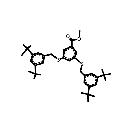 COC(=O)c1cc(SCc2cc(C(C)(C)C)cc(C(C)(C)C)c2)cc(SCc2cc(C(C)(C)C)cc(C(C)(C)C)c2)c1